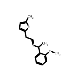 COc1ccccc1C(C)N=CCc1ccc(C)o1